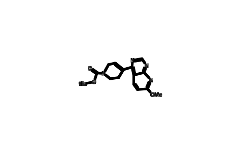 COc1ccc2c(C3=CCN(C(=O)OC(C)(C)C)CC3)ncnc2n1